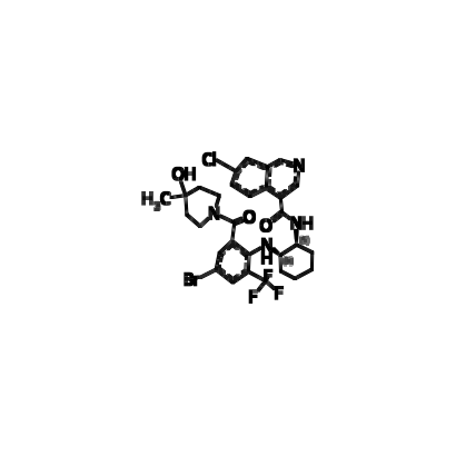 CC1(O)CCN(C(=O)c2cc(Br)cc(C(F)(F)F)c2N[C@@H]2CCCC[C@@H]2NC(=O)c2cncc3cc(Cl)ccc23)CC1